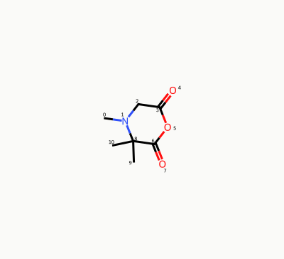 CN1CC(=O)OC(=O)C1(C)C